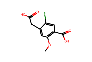 COc1cc(CC(=O)O)c(Br)cc1C(=O)O